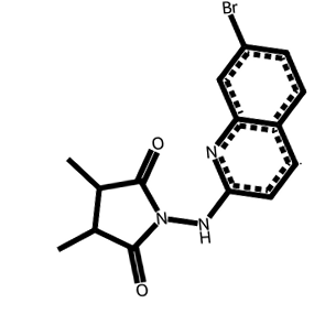 CC1C(=O)N(Nc2c[c]c3ccc(Br)cc3n2)C(=O)C1C